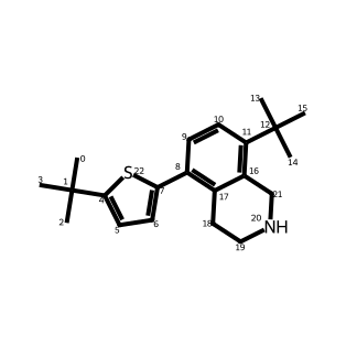 CC(C)(C)c1ccc(-c2ccc(C(C)(C)C)c3c2CCNC3)s1